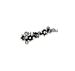 CC(C)(C)OC(=O)N1CCC(COc2cnc(-c3ccc(C(=O)N4CCC[C@@H]4CO)cc3)cn2)CC1